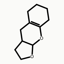 C1CCC2=C(C1)CC1CCOC1O2